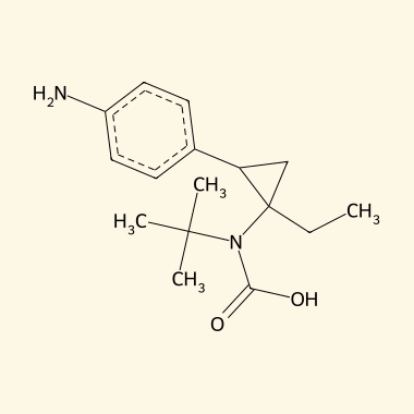 CCC1(N(C(=O)O)C(C)(C)C)CC1c1ccc(N)cc1